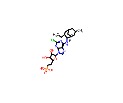 CCC1CC2CC(C)C[C@H](C2)C1Nc1nc(Cl)nc2c1ncn2C1OC(CCP(=O)(O)O)C(O)C1O